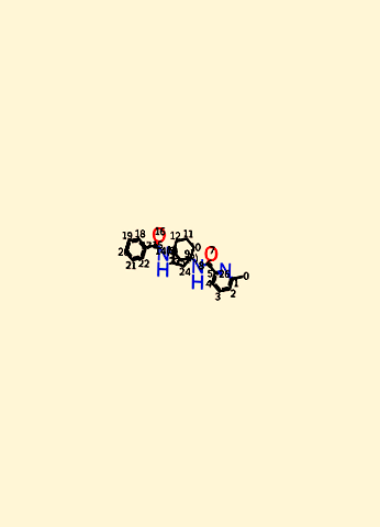 Cc1cccc(C(=O)N[C@]23CCC[C@](NC(=O)c4ccccc4)(CC2)C3)n1